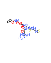 N=C(N)NCCCC(C=O)NC(=O)C(CCCCNC(=S)NCCCCN=C=S)NC(=O)CCOCCOCCNC(=O)Cc1ccc2ccccc2c1